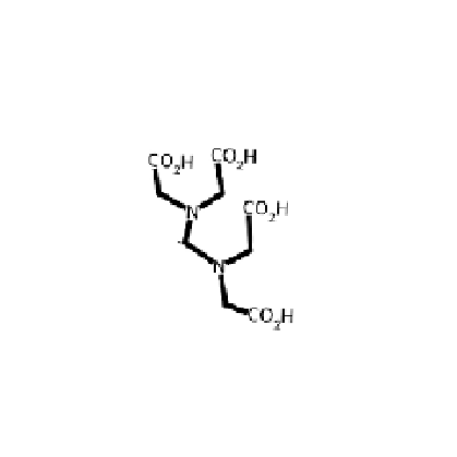 O=C(O)CN([CH]N(CC(=O)O)CC(=O)O)CC(=O)O